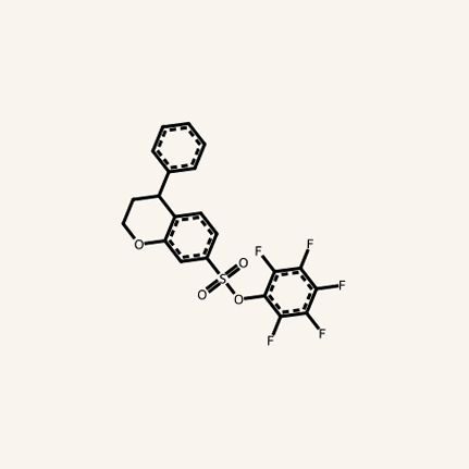 O=S(=O)(Oc1c(F)c(F)c(F)c(F)c1F)c1ccc2c(c1)OCCC2c1ccccc1